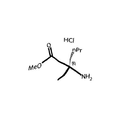 CCC[C@@](C)(N)C(=O)OC.Cl